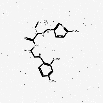 COc1ccc(NC[C@H](C)NC(=O)[C@H](CC(C)C)N[C@@H](c2ccc(OC)nc2)C(F)(F)F)c(OC)c1